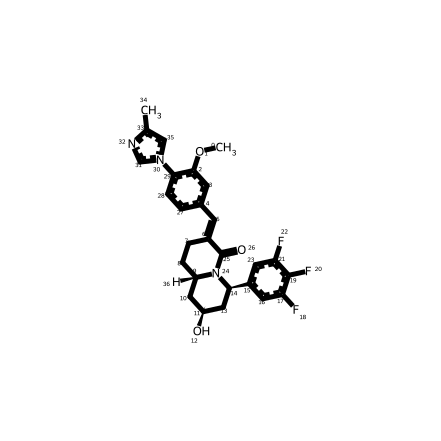 COc1cc(/C=C2\CC[C@H]3C[C@H](O)C[C@H](c4cc(F)c(F)c(F)c4)N3C2=O)ccc1-n1cnc(C)c1